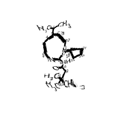 CC(C)c1cccnc(NC(=O)CC(C)(C)C)n(C2CCC2)cc1